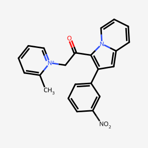 Cc1cccc[n+]1CC(=O)c1c(-c2cccc([N+](=O)[O-])c2)cc2ccccn12